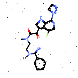 CCN(CCN(C)C(=O)C(=O)c1c[nH]c2c(-n3ccnn3)ncc(F)c12)C(=N)c1ccccc1